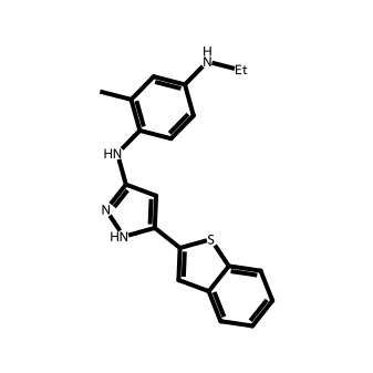 CCNc1ccc(Nc2cc(-c3cc4ccccc4s3)[nH]n2)c(C)c1